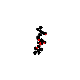 c1ccc(-n2c3ccccc3c3cc4c(cc32)c2cc3ccccc3cc2n4-c2ccc(-c3ccc4ccc5c(c4c3)c3ccc4c6ccccc6n(-c6ccc(-c7cccc(-n8c9ccccc9c9c%10ccccc%10c%10c(c%11ccccc%11n%10-c%10ccccn%10)c98)c7)cc6)c4c3n5-c3ccccn3)cn2)cc1